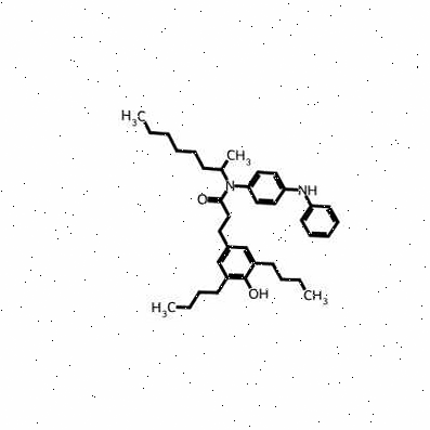 CCCCCCC(C)N(C(=O)CCc1cc(CCCC)c(O)c(CCCC)c1)c1ccc(Nc2ccccc2)cc1